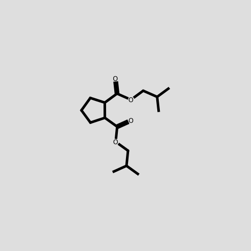 CC(C)COC(=O)C1CCCC1C(=O)OCC(C)C